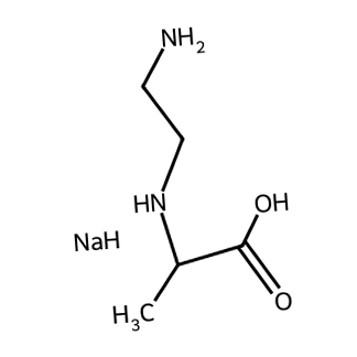 CC(NCCN)C(=O)O.[NaH]